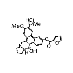 COc1cc2c3c(c4ccc(OC(=O)c5ccco5)cc4c2cc1OC)[C@H](O)[C@@H]1CCCN1C3.Cl